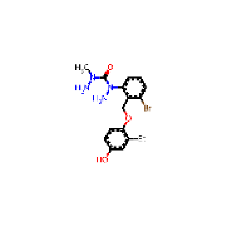 CCc1cc(O)ccc1OCc1c(Br)cccc1N(N)C(=O)N(C)N